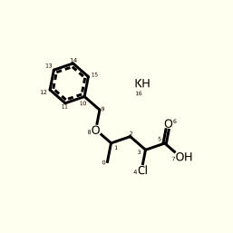 CC(CC(Cl)C(=O)O)OCc1ccccc1.[KH]